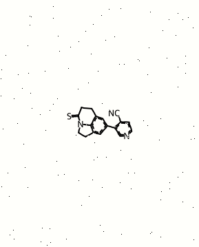 N#Cc1ccncc1-c1cc2c3c(c1)CCN3C(=S)CC2